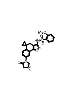 COc1ccccc1S(=O)(=O)Nc1noc2c1CC1(CC1)c1ccc(N3C[C@H](C)CC3=O)cc1-2